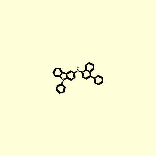 c1ccc(-c2ccc(Nc3ccc4c(c3)c3ccccc3n4-c3ccccc3)c3ccccc23)cc1